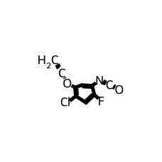 C=CCOc1cc(N=C=O)c(F)cc1Cl